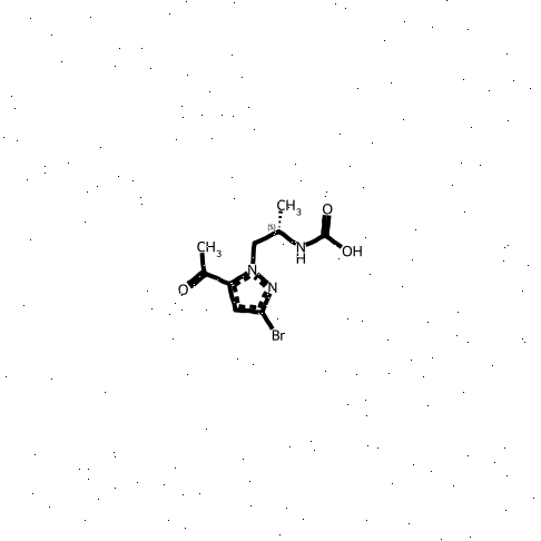 CC(=O)c1cc(Br)nn1C[C@H](C)NC(=O)O